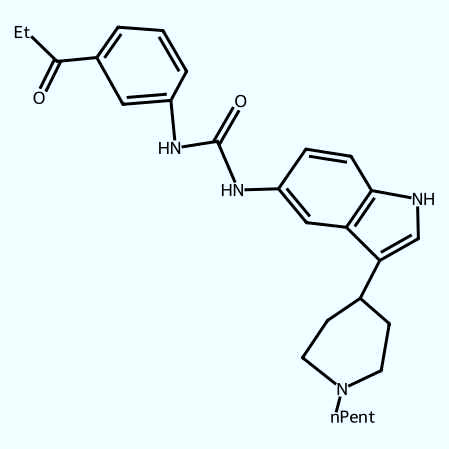 CCCCCN1CCC(c2c[nH]c3ccc(NC(=O)Nc4cccc(C(=O)CC)c4)cc23)CC1